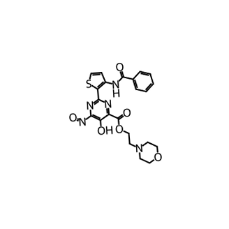 O=Nc1nc(-c2sccc2NC(=O)c2ccccc2)nc(C(=O)OCCN2CCOCC2)c1O